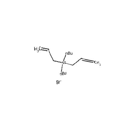 C=CC[N+](CC=C)(CCCC)CCCC.[Br-]